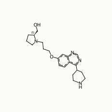 OC[C@@H]1CCCN1CCCOc1ccc2c(C3CCNCC3)ncnc2c1